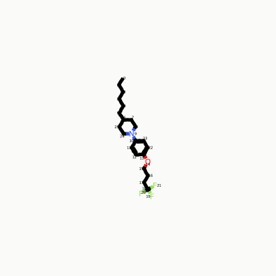 CCCCCCC1CCN(c2ccc(OCCCC(F)(F)F)cc2)CC1